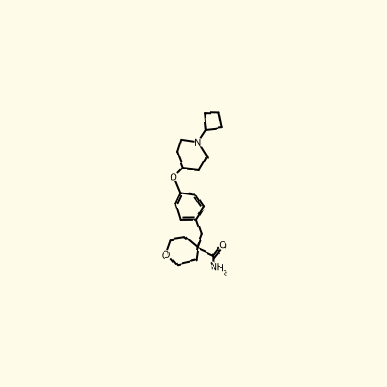 NC(=O)C1(Cc2ccc(OC3CCN(C4CCC4)CC3)cc2)CCOCC1